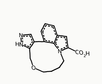 O=C(O)c1cc2cccc3c2n1CCCCOCc1[nH]ncc1-3